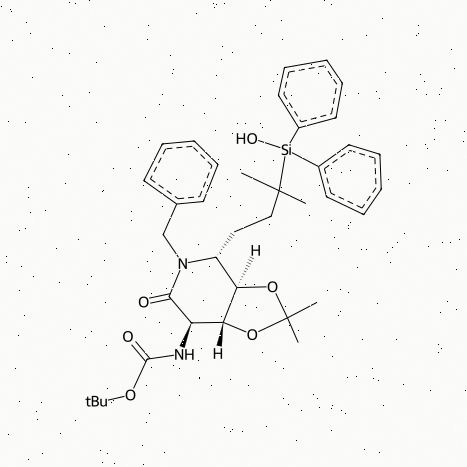 CC(C)(C)OC(=O)N[C@H]1C(=O)N(Cc2ccccc2)[C@H](CCC(C)(C)[Si](O)(c2ccccc2)c2ccccc2)[C@H]2OC(C)(C)O[C@@H]21